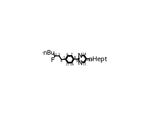 CCC[CH]C(F)CCc1ccc(-c2ncc(CCCCCCC)cn2)cc1